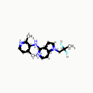 Cc1ccnc(C)c1Nc1nccc2c1ccn2CC(C)(F)F